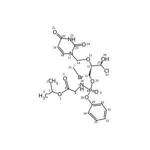 CC(C)OC(=O)CNP(=O)(OC[C@@H](O[C@H](CBr)n1ccc(=O)[nH]c1=O)[C@@H](O)Cl)Oc1ccccc1